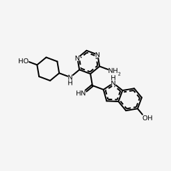 N=C(c1cc2cc(O)ccc2[nH]1)c1c(N)ncnc1NC1CCC(O)CC1